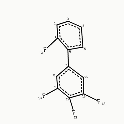 Fc1ccccc1-c1cc(F)c(F)c(F)c1